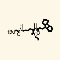 C=CCOC(=C)C(CCCCNC(=O)CC(C)(C)C)NC(=O)CCC1c2ccccc2-c2ccccc21